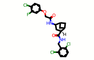 O=C(COc1ccc(Cl)c(F)c1)NC1C[C@H](C(=O)NCc2c(Cl)cccc2Cl)C2CC1C2